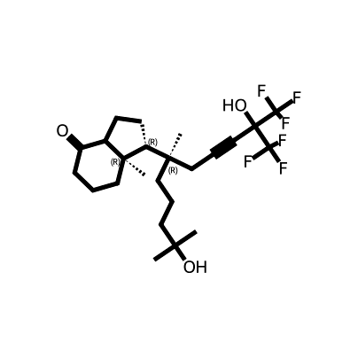 CC(C)(O)CCC[C@](C)(CC#CC(O)(C(F)(F)F)C(F)(F)F)[C@H]1CCC2C(=O)CCC[C@@]21C